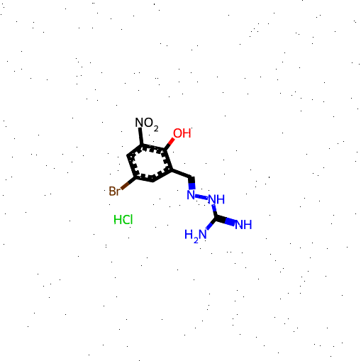 Cl.N=C(N)NN=Cc1cc(Br)cc([N+](=O)[O-])c1O